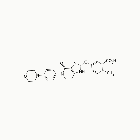 CC1C=CC(OC2Nc3ccn(-c4ccc(N5CCOCC5)cc4)c(=O)c3N2)=CC1C(=O)O